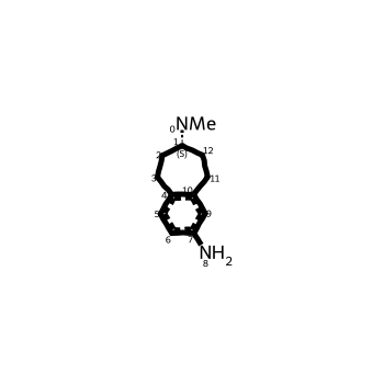 CN[C@H]1CCc2ccc(N)cc2CC1